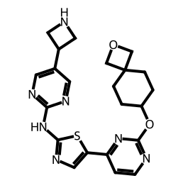 c1cc(-c2cnc(Nc3ncc(C4CNC4)cn3)s2)nc(OC2CCC3(CC2)COC3)n1